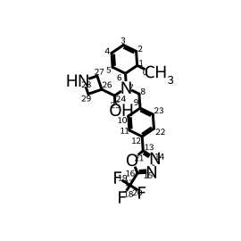 CC1C=CC=CC1N(Cc1ccc(-c2nnc(C(F)(F)F)o2)cc1)C(O)C1CNC1